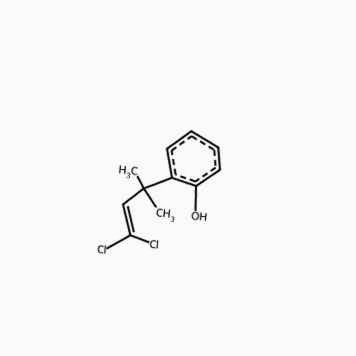 CC(C)(C=C(Cl)Cl)c1ccccc1O